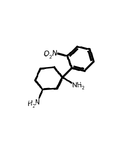 NC1CCCC(N)(c2ccccc2[N+](=O)[O-])C1